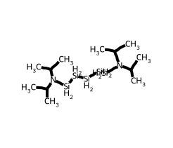 CC(C)N([SiH2][SiH2][SiH2][SiH2][SiH2]N(C(C)C)C(C)C)C(C)C